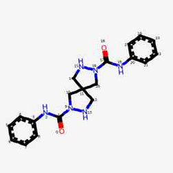 O=C(Nc1ccccc1)N1CC2(CN1)CNN(C(=O)Nc1ccccc1)C2